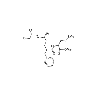 CCC(/C=C/C(CCC(Cc1ccccc1)C(=O)N[C@@H](CCSC)C(=O)OC)C(C)C)CS